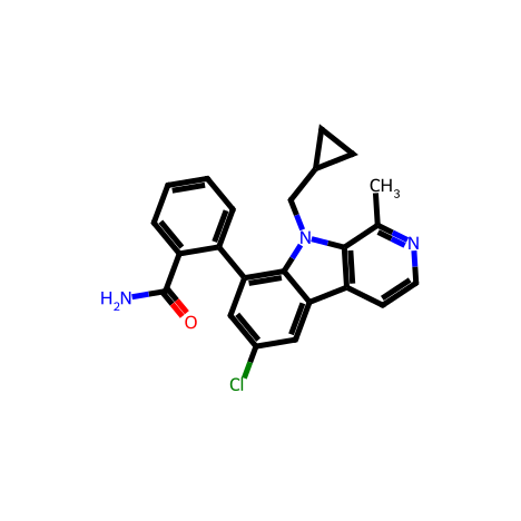 Cc1nccc2c3cc(Cl)cc(-c4ccccc4C(N)=O)c3n(CC3CC3)c12